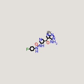 CC(C)n1cc(C(=O)c2cncc(NC(=O)Nc3ccc(F)cc3)c2)c2c(N)ncnc21